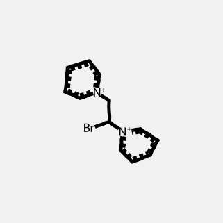 BrC(C[n+]1ccccc1)[n+]1ccccc1